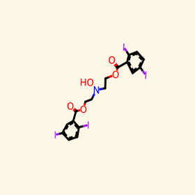 O=C(OCCN(O)CCOC(=O)c1cc(I)ccc1I)c1cc(I)ccc1I